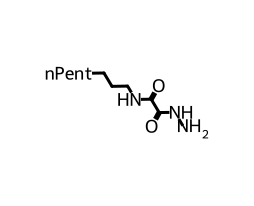 CCCCCCCCNC(=O)C(=O)NN